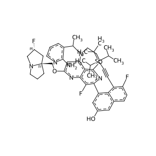 CC(c1cccnc1N)N1CCOc2nc(-c3cc(O)cc4ccc(F)c(C#C[Si](C(C)C)(C(C)C)C(C)C)c34)c(F)c3nc(OC[C@@]45CCCN4C[C@H](F)C5)cc1c23